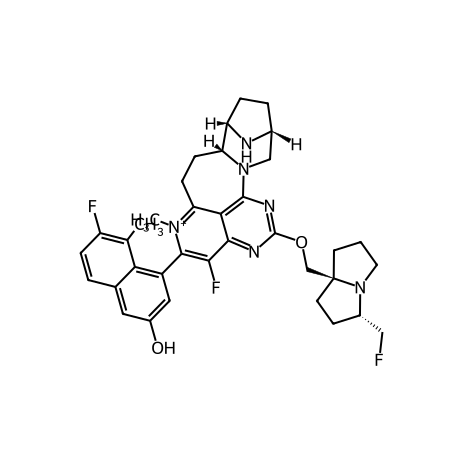 Cc1c(F)ccc2cc(O)cc(-c3c(F)c4nc(OC[C@@]56CCCN5[C@H](CF)CC6)nc5c4c([n+]3C)CC[C@@H]3[C@@H]4CC[C@H](CN53)N4)c12